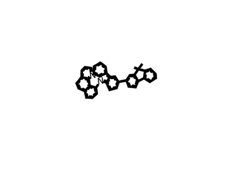 CC1(C)c2ccccc2-c2ccc(-c3ccc4c(c3)c3ccccc3n4-c3cccc4ccc5cccnc5c34)cc21